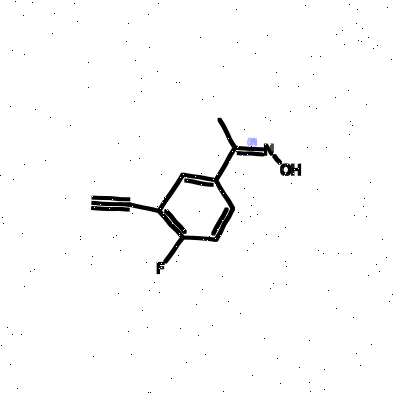 C#Cc1cc(/C(C)=N\O)ccc1F